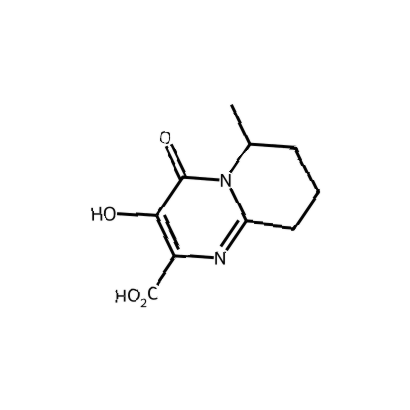 CC1CCCc2nc(C(=O)O)c(O)c(=O)n21